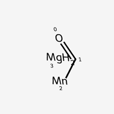 O=[CH][Mn].[MgH2]